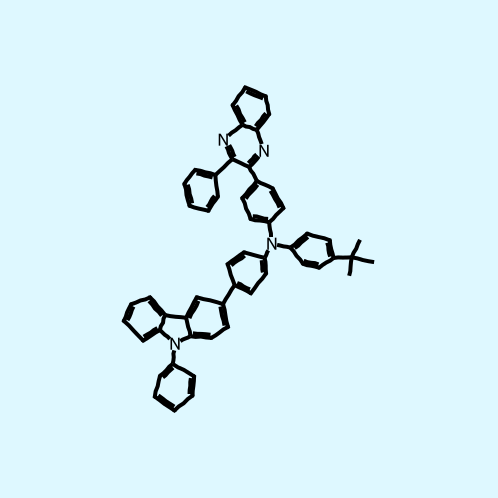 CC(C)(C)c1ccc(N(c2ccc(-c3ccc4c(c3)c3ccccc3n4-c3ccccc3)cc2)c2ccc(-c3nc4ccccc4nc3-c3ccccc3)cc2)cc1